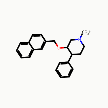 O=C(O)N1CCC(c2ccccc2)C(OCc2ccc3ccccc3c2)C1